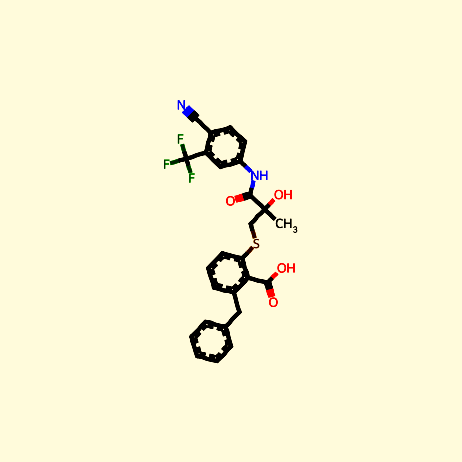 CC(O)(CSc1cccc(Cc2ccccc2)c1C(=O)O)C(=O)Nc1ccc(C#N)c(C(F)(F)F)c1